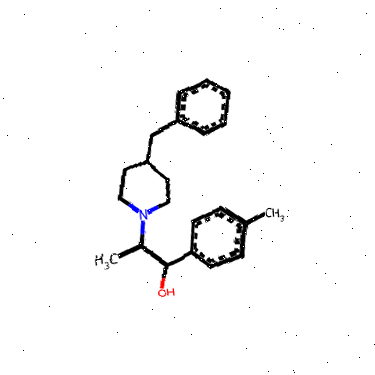 Cc1ccc(C(O)C(C)N2CCC(Cc3ccccc3)CC2)cc1